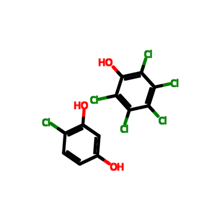 Oc1c(Cl)c(Cl)c(Cl)c(Cl)c1Cl.Oc1ccc(Cl)c(O)c1